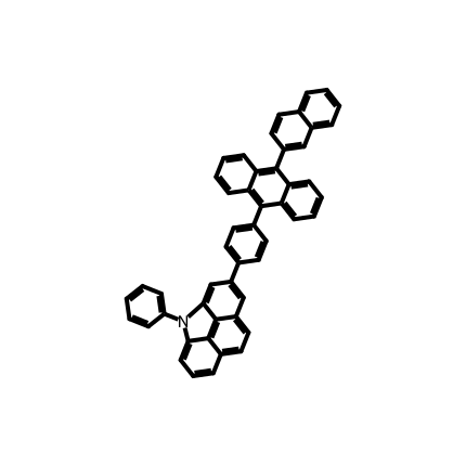 c1ccc(-n2c3cccc4ccc5cc(-c6ccc(-c7c8ccccc8c(-c8ccc9ccccc9c8)c8ccccc78)cc6)cc2c5c43)cc1